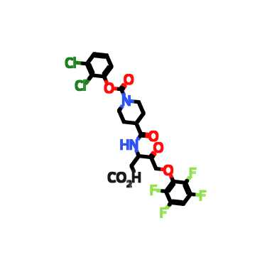 O=C(O)CC(NC(=O)C1CCN(C(=O)Oc2cccc(Cl)c2Cl)CC1)C(=O)COc1c(F)c(F)cc(F)c1F